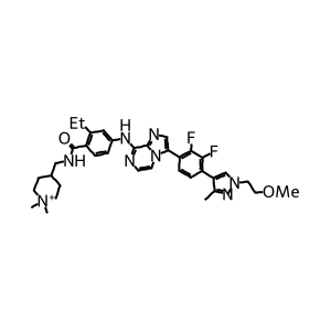 CCc1cc(Nc2nccn3c(-c4ccc(-c5cn(CCOC)nc5C)c(F)c4F)cnc23)ccc1C(=O)NCC1CC[N+](C)(C)CC1